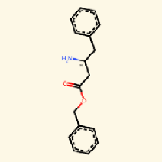 N[C@H](CC(=O)OCc1ccccc1)Cc1ccccc1